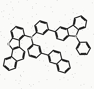 c1ccc(-n2c3ccccc3c3cc(-c4cccc(N(c5cccc(-c6ccc7ccccc7c6)c5)c5cccc6oc7c8ccccc8ccc7c56)c4)ccc32)cc1